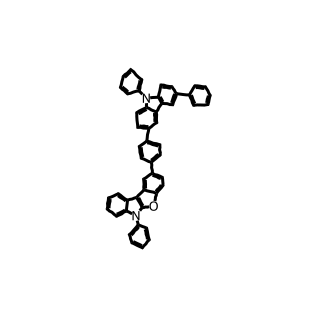 c1ccc(-c2ccc3c(c2)c2cc(-c4ccc(-c5ccc6oc7c(c6c5)c5ccccc5n7-c5ccccc5)cc4)ccc2n3-c2ccccc2)cc1